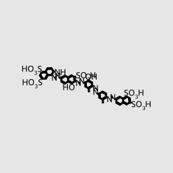 Cc1cc(N=Nc2cc(O)c(/N=N/c3c(S(=O)(=O)O)cc4cc(N5N=C6c7cc(S(=O)(=O)O)cc(S(=O)(=O)O)c7C=CC6N5)ccc4c3O)cc2C)ccc1N=Nc1ccc2cc(S(=O)(=O)O)cc(S(=O)(=O)O)c2c1